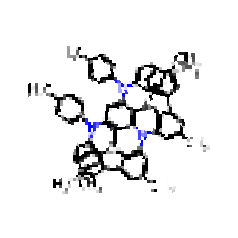 Cc1ccc(N(C2=CCC(C)C=C2)c2cc(N(c3ccc(C)cc3)c3ccc(C)cc3)c3c4c2B2c5ccc(C)cc5-c5cc(C)cc(c52)N4c2cc(C)cc4c2B3c2ccc(C)cc2-4)cc1